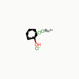 Oc1ccccc1.[Cl-].[Cl-].[Cl-].[Ru+3]